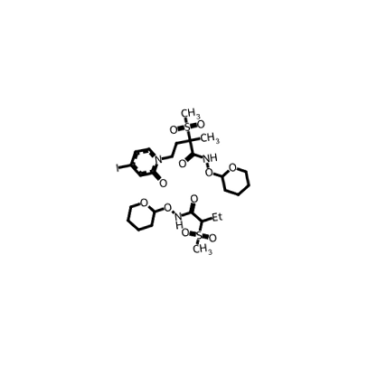 CC(CCn1ccc(I)cc1=O)(C(=O)NOC1CCCCO1)S(C)(=O)=O.CCC(C(=O)NOC1CCCCO1)S(C)(=O)=O